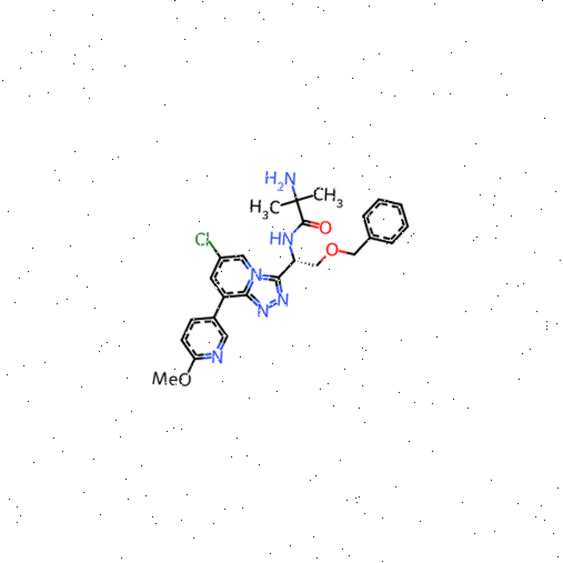 COc1ccc(-c2cc(Cl)cn3c([C@@H](COCc4ccccc4)NC(=O)C(C)(C)N)nnc23)cn1